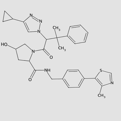 Cc1ncsc1-c1ccc(CNC(=O)C2CC(O)CN2C(=O)C(n2cc(C3CC3)nn2)C(C)(C)c2ccccc2)cc1